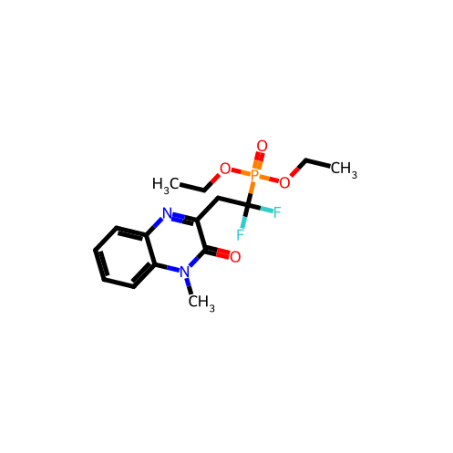 CCOP(=O)(OCC)C(F)(F)Cc1nc2ccccc2n(C)c1=O